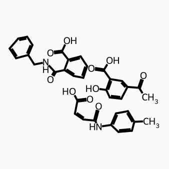 CC(=O)c1ccc(O)c(C(=O)O)c1.Cc1ccc(NC(=O)/C=C\C(=O)O)cc1.O=C(O)c1ccccc1C(=O)NCc1ccccc1